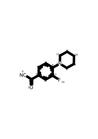 N#CC(=O)c1ccc(N2CCCCC2)c(F)c1